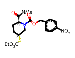 CCOC(=O)S[C@H]1CC[C@@H](C(=O)NC)N(C(=O)OCc2ccc([N+](=O)[O-])cc2)C1